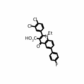 CCn1c(-c2ccc(Cl)c(Cl)c2)c(C(=O)O)c(=O)c2cc(-c3ccc(F)cc3)ccc21